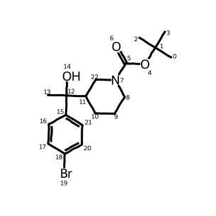 CC(C)(C)OC(=O)N1CCCC(C(C)(O)c2ccc(Br)cc2)C1